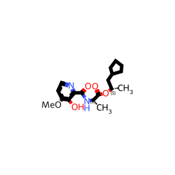 COc1ccnc(C(=O)N[C@@H](C)C(=O)O[C@@H](C)CC2CCCC2)c1O